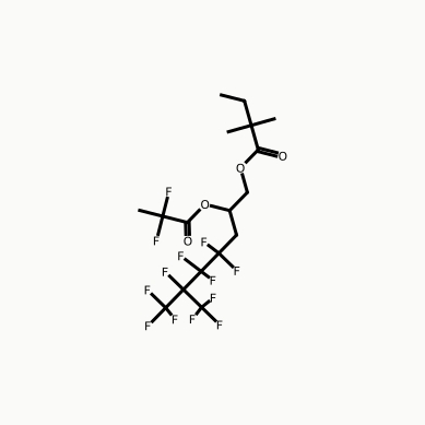 CCC(C)(C)C(=O)OCC(CC(F)(F)C(F)(F)C(F)(C(F)(F)F)C(F)(F)F)OC(=O)C(C)(F)F